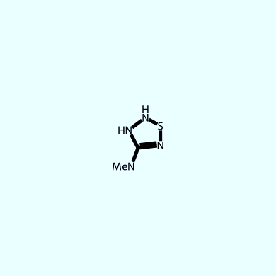 CNC1=NSNN1